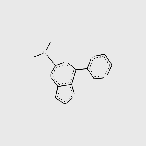 CN(C)c1nc(-c2cnccn2)c2sccc2n1